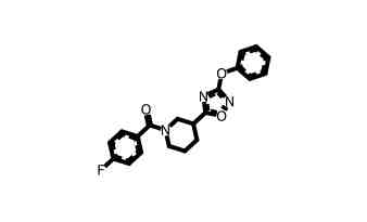 O=C(c1ccc(F)cc1)N1CCCC(c2nc(Oc3ccccc3)no2)C1